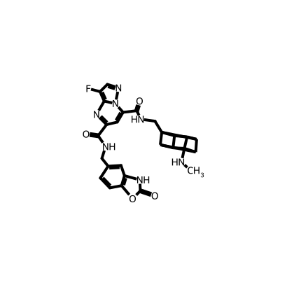 CNC12C3C4C1C1C2C3C41CNC(=O)c1cc(C(=O)NCc2ccc3oc(=O)[nH]c3c2)nc2c(F)cnn12